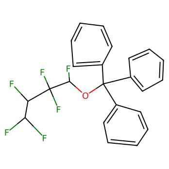 FC(F)C(F)C(F)(F)C(F)OC(c1ccccc1)(c1ccccc1)c1ccccc1